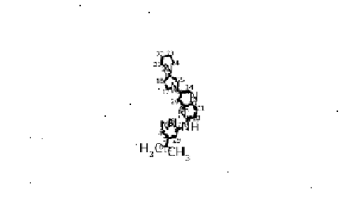 CC(C)c1cnnc(Nc2ccc3ncc(N4CCC(N5CCCC5)C4)cc3n2)c1